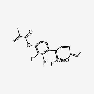 C=C(C)C(=O)Oc1ccc(C(/C=C\C(=C/C)OC)=C(/C)F)c(F)c1F